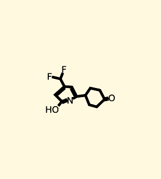 O=C1CCC(c2cc(C(F)F)cc(O)n2)CC1